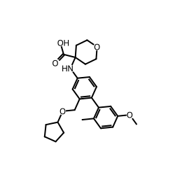 COc1ccc(C)c(-c2ccc(NC3(C(=O)O)CCOCC3)cc2COC2CCCC2)c1